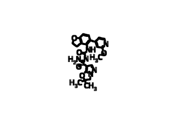 COc1cc(-c2ccc3c(c2NC(=O)N=S(N)(=O)c2cnn4c2OC(C)(C)C4)CCO3)ccn1